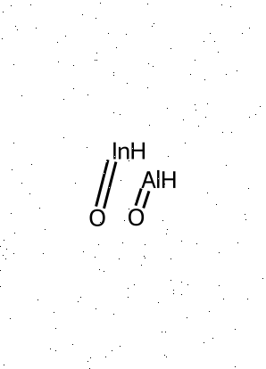 [O]=[AlH].[O]=[InH]